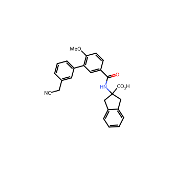 COc1ccc(C(=O)NC2(C(=O)O)Cc3ccccc3C2)cc1-c1cccc(CC#N)c1